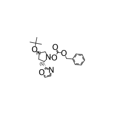 CC(C)(C)O[C@@H]1C[C@@H](c2ncco2)N(OC(=O)OCc2ccccc2)C1